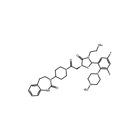 CC(C)(C)CCN1C(=O)[C@H](CC(=O)N2CCC(N3CCc4ccccc4NC3=O)CC2)SC1c1cc(F)cc(F)c1N1CCN(C(C)(C)C)CC1